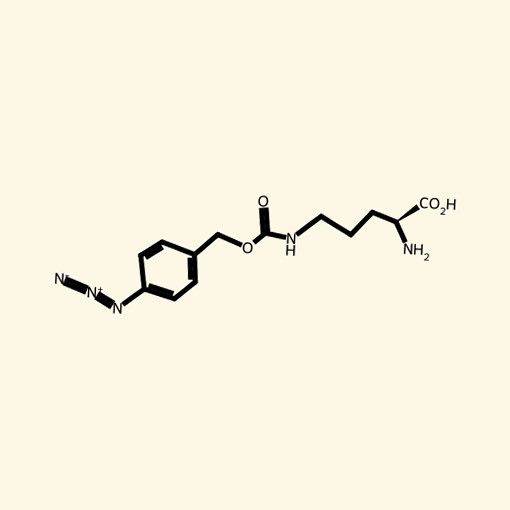 [N-]=[N+]=Nc1ccc(COC(=O)NCCC[C@H](N)C(=O)O)cc1